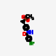 CS(=O)(=O)[C@@H]1C[C@H]1c1ccc(NC(=O)c2ccc(Br)cc2)cc1